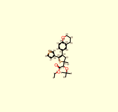 CCOC(=O)C(OC(C)(C)C)C1(C)CC(c2ccc3c(c2)CCCO3)=C(c2ccsc2)S1